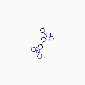 Cc1cccc(Nc2ccc(-c3ccc4c(c3)c3ccccc3n4-c3cccc(C)c3)cc2-c2ccccc2)c1